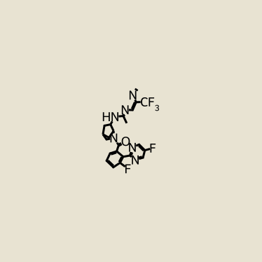 C=N/C(=C\N=C(/C)NC1CC2CC1N(C(=O)c1cccc(F)c1-c1ncc(F)cn1)C2)C(F)(F)F